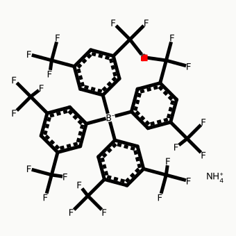 FC(F)(F)c1cc([B-](c2cc(C(F)(F)F)cc(C(F)(F)F)c2)(c2cc(C(F)(F)F)cc(C(F)(F)F)c2)c2cc(C(F)(F)F)cc(C(F)(F)F)c2)cc(C(F)(F)F)c1.[NH4+]